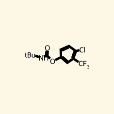 CC(C)(C)NC(=O)Oc1ccc(Cl)c(C(F)(F)F)c1